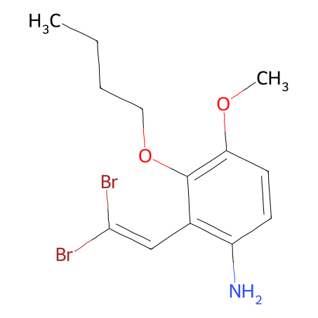 CCCCOc1c(OC)ccc(N)c1C=C(Br)Br